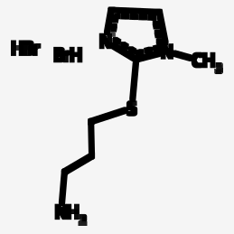 Br.Br.Cn1ccnc1SCCCN